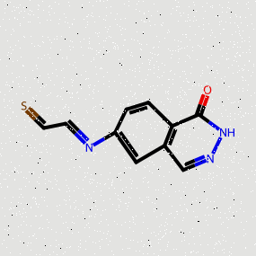 O=c1[nH]ncc2cc(N=CC=S)ccc12